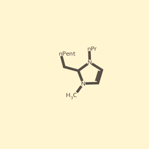 CCCCCCC1N(C)C=CN1CCC